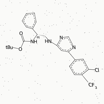 CC(C)(C)OC(=O)N[C@@H](CNc1cc(-c2ccc(C(F)(F)F)c(Cl)c2)ncn1)c1ccccc1